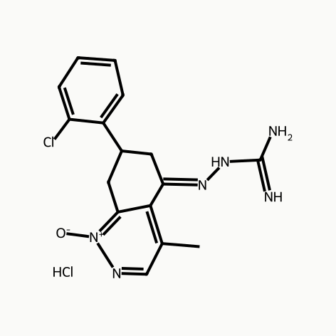 Cc1cn[n+]([O-])c2c1/C(=N/NC(=N)N)CC(c1ccccc1Cl)C2.Cl